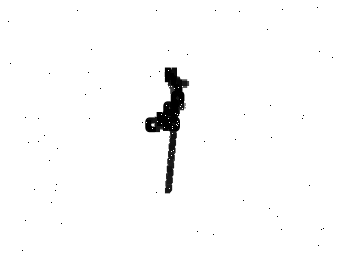 CCCCCCCCCCCCCCCCCCOCC(C[S+]([O-])CCOCC[n+]1ccc(N(C)C)cc1)Oc1ncccn1.[Cl-]